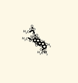 CCC(=O)O[C@H]1CC[C@@]2(C)[C@@H](CC[C@]3(C)[C@@H]2C(=O)C=C2[C@@H]4C[C@@](C)(C(=O)NC)CC[C@]4(C)CC[C@]23C)[C@]1(C)NC(=O)OCc1oc(=O)oc1CC